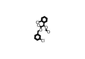 O=[C]OC(C(=O)OCc1cccc(Cl)c1)c1ccccc1Cl